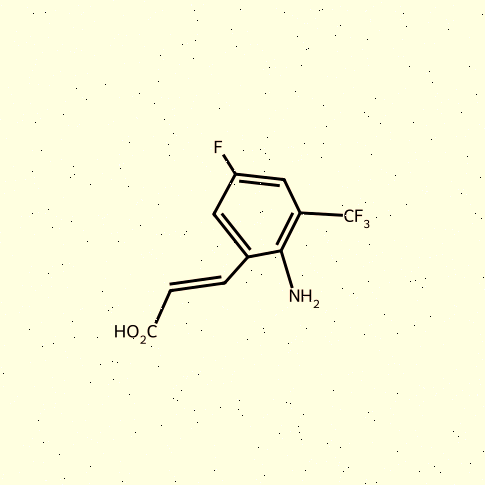 Nc1c(C=CC(=O)O)cc(F)cc1C(F)(F)F